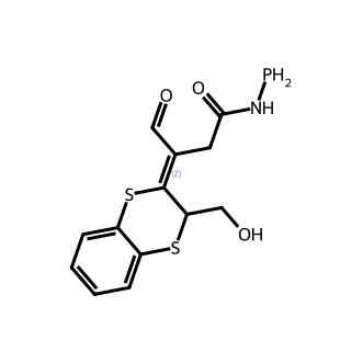 O=C/C(CC(=O)NP)=C1\Sc2ccccc2SC1CO